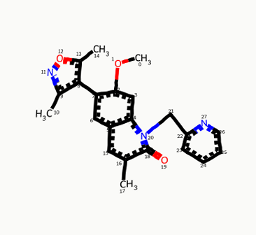 COc1cc2c(cc1-c1c(C)noc1C)cc(C)c(=O)n2Cc1ccccn1